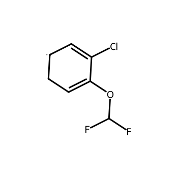 FC(F)OC1=CC[CH]C=C1Cl